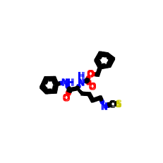 O=C(N[C@@H](CCCCN=C=S)C(=O)Nc1ccccc1)OCc1ccccc1